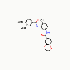 COc1ccc(C(=O)Nc2cc(NC(=O)c3ccc4c(c3)OCCO4)ccc2C)cc1OC